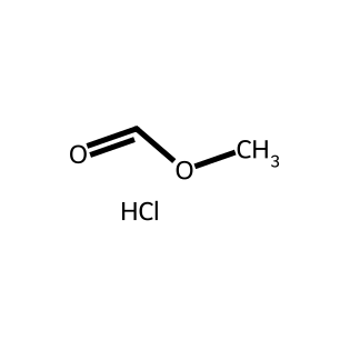 COC=O.Cl